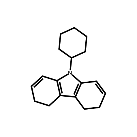 C1=Cc2c(c3c(n2C2CCCCC2)C=CCC3)CC1